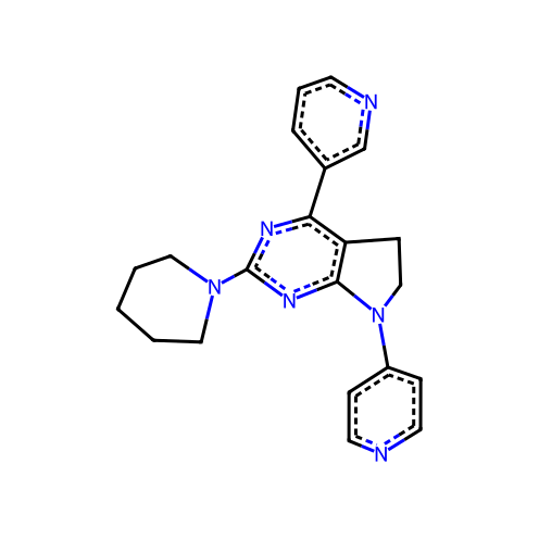 c1cncc(-c2nc(N3CCCCC3)nc3c2CCN3c2ccncc2)c1